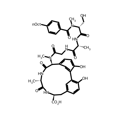 CCCCCCCCc1ccc(C(=O)N(C)[C@H](CO)C(=O)N[C@H](C)C(=O)NCC(=O)N(C)[C@@H]2C(=O)N[C@@H](C)C(=O)N[C@H](C(=O)O)Cc3ccc(O)c(c3)-c3cc2ccc3O)cc1